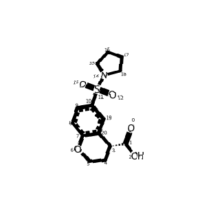 O=C(O)[C@@H]1CCOc2ccc(S(=O)(=O)N3CCCC3)cc21